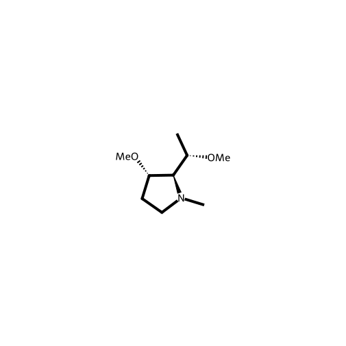 CO[C@@H](C)[C@@H]1[C@@H](OC)CCN1C